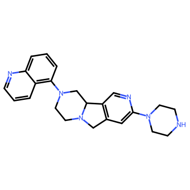 c1cc(N2CCN3Cc4cc(N5CCNCC5)ncc4C3C2)c2cccnc2c1